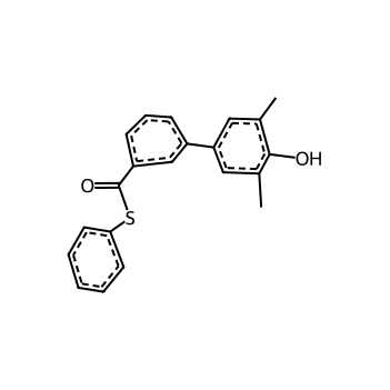 Cc1cc(-c2cccc(C(=O)Sc3ccccc3)c2)cc(C)c1O